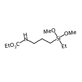 CCOC(=O)NCCC[Si](CC)(OC)OC